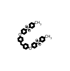 Cc1ccc(S(=O)(=O)c2ccc(Oc3ccc(Cc4ccc(Oc5ccc(S(=O)(=O)c6ccc(C)cc6)cc5)cc4)cc3)cc2)cc1